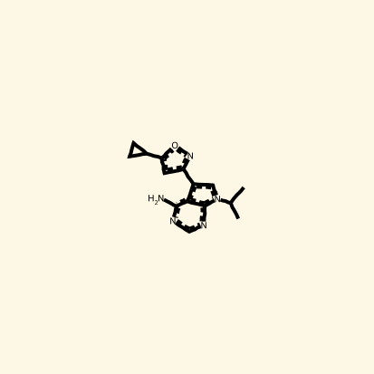 CC(C)n1cc(-c2cc(C3CC3)on2)c2c(N)ncnc21